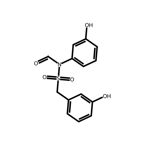 O=[C]N(c1cccc(O)c1)S(=O)(=O)Cc1cccc(O)c1